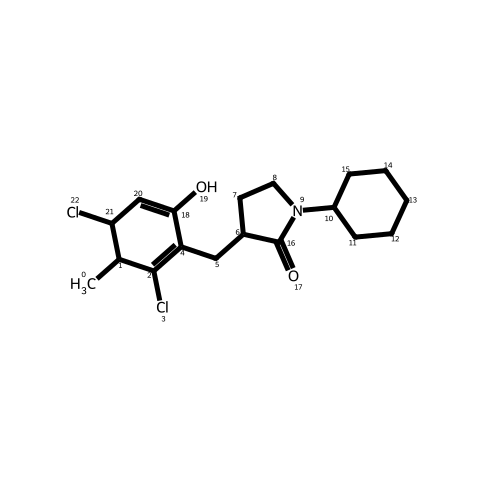 CC1C(Cl)=C(CC2CCN(C3CCCCC3)C2=O)C(O)=CC1Cl